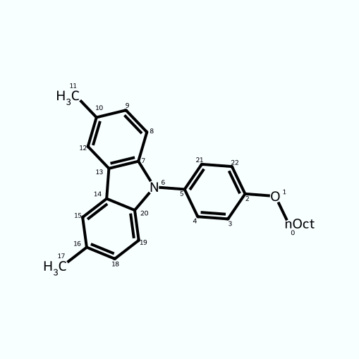 CCCCCCCCOc1ccc(-n2c3ccc(C)cc3c3cc(C)ccc32)cc1